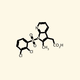 Cc1c(CC(=O)O)c2cccnc2n1S(=O)(=O)c1cccc(Cl)c1Cl